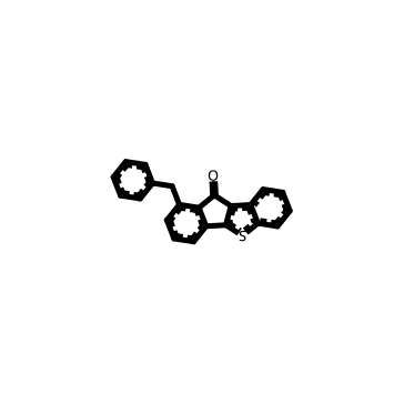 O=C1c2c(Cc3ccccc3)cccc2-c2sc3ccccc3c21